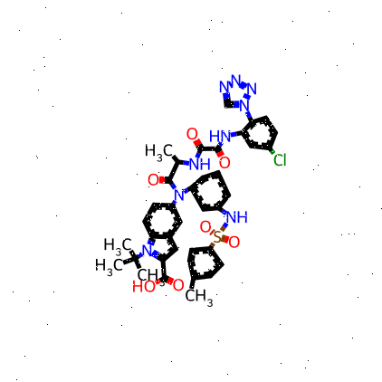 Cc1ccc(S(=O)(=O)Nc2cccc(N(C(=O)C(C)NC(=O)C(=O)Nc3cc(Cl)ccc3-n3cnnn3)c3ccc4c(c3)cc(C(=O)O)n4C(C)(C)C)c2)cc1